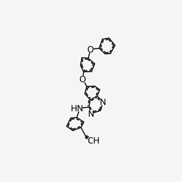 C#Cc1cccc(Nc2ncnc3ccc(Oc4ccc(Oc5ccccc5)cc4)cc23)c1